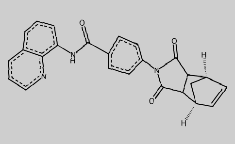 O=C(Nc1cccc2cccnc12)c1ccc(N2C(=O)C3C(C2=O)[C@H]2C=C[C@@H]3C2)cc1